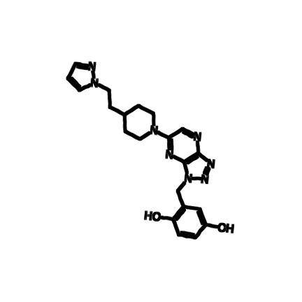 Oc1ccc(O)c(Cn2nnc3ncc(N4CCC(CCn5cccn5)CC4)nc32)c1